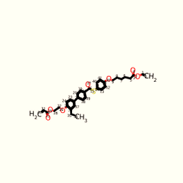 C=COC(=O)CCCCCOc1ccc(SC(=O)c2ccc(-c3ccc(OCCOC(=O)C=C)c(CC)c3)cc2)cc1